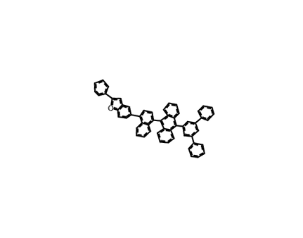 c1ccc(-c2cc(-c3ccccc3)cc(-c3c4ccccc4c(-c4ccc(-c5ccc6oc(-c7ccccc7)cc6c5)c5ccccc45)c4ccccc34)c2)cc1